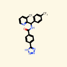 O=C(NC(c1ccc(C(F)(F)F)cc1)c1ncccc1C(F)(F)F)c1ccc(-c2nnn[nH]2)cc1